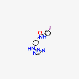 CN(C)c1ccnc(N[C@H]2CC[C@@H](CNC(=O)c3cccc(I)c3)CC2)n1